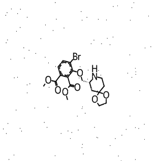 COC(=O)c1ccc(Br)c(OC[C@H]2CC3(CCN2)OCCO3)c1C(=O)OC